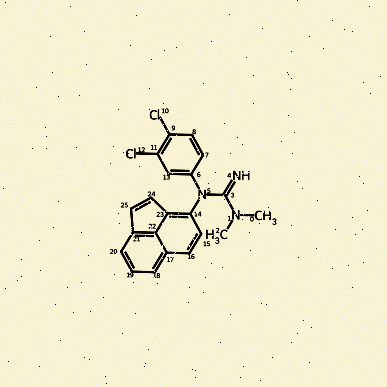 CN(C)C(=N)N(c1ccc(Cl)c(Cl)c1)c1ccc2cccc3c2c1C=C3